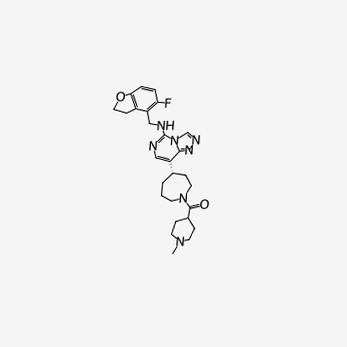 CN1CCC(C(=O)N2CCC[C@H](c3cnc(NCc4c(F)ccc5c4CCO5)n4cnnc34)CC2)CC1